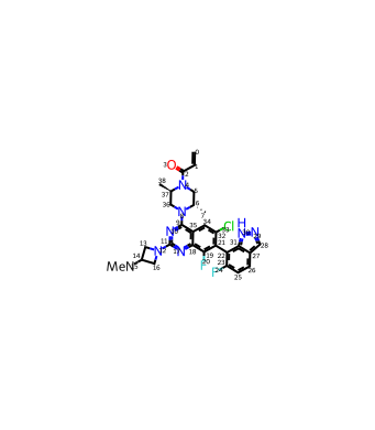 C=CC(=O)N1C[C@H](C)N(c2nc(N3CC(NC)C3)nc3c(F)c(-c4c(F)ccc5cn[nH]c45)c(Cl)cc23)C[C@H]1C